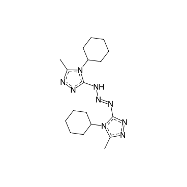 Cc1nnc(N=NNc2nnc(C)n2C2CCCCC2)n1C1CCCCC1